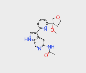 COC1(c2cccc(-c3c[nH]c4cnc(NC(C)=O)cc34)n2)CCOC1